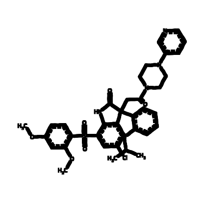 COc1ccc(S(=O)(=O)c2cc(Cl)cc3c2NC(=O)C3(CC(=O)N2CCN(c3cccnc3)CC2)c2ccccc2OC(C)C)c(OC)c1